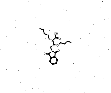 CCCCO[C@@H](CN1C(=O)c2ccccc2C1=O)[C@H](OCCCC)C(=O)O